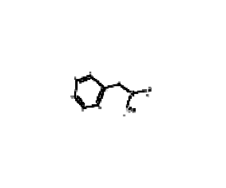 [CH2]CCN(CCCC)Cc1ccccc1